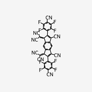 N#CC(C#N)=C1C(c2c(F)c(F)c(C#N)c(F)c2F)=C(C#N)c2cc3c(cc21)C(=C(C#N)C#N)C(c1c(F)c(F)c(C#N)c(F)c1F)=C3C#N